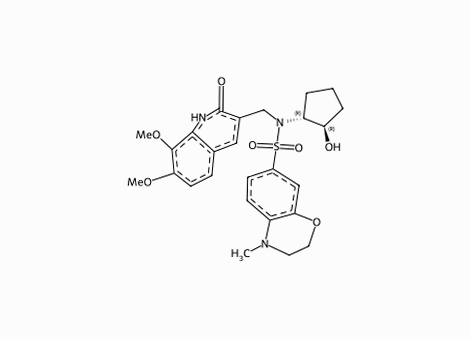 COc1ccc2cc(CN([C@@H]3CCC[C@H]3O)S(=O)(=O)c3ccc4c(c3)OCCN4C)c(=O)[nH]c2c1OC